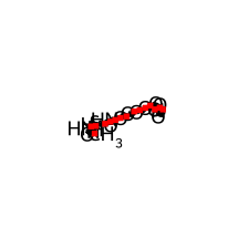 CN1C(=O)N[C@H]2CS[C@@H](CCCCC(=O)NCCOCCOCCOCCOCCC(=O)ON3C(=O)CCC3=O)[C@H]21